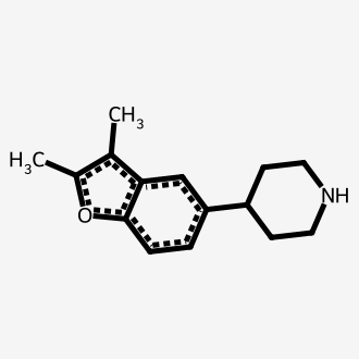 Cc1oc2ccc(C3CCNCC3)cc2c1C